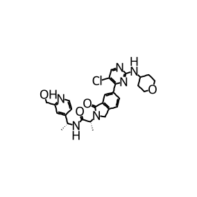 C[C@H](C(=O)N[C@H](C)c1ccnc(CO)c1)N1Cc2ccc(-c3nc(NC4CCOCC4)ncc3Cl)cc2C1=O